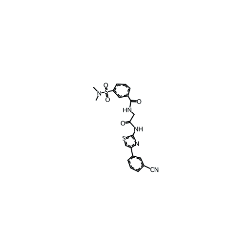 CN(C)S(=O)(=O)c1cccc(C(=O)NCC(=O)Nc2nc(-c3cccc(C#N)c3)cs2)c1